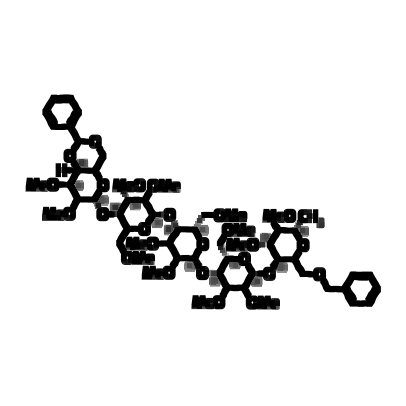 COCC1O[C@@H](O[C@H]2C(OC)C(OC)[C@H](O[C@H]3C(OC)C(OC)[C@H](O[C@@H]4C(COCc5ccccc5)O[C@@H](C)C(OC)[C@H]4OC)O[C@H]3COC)O[C@H]2COC)C(OC)[C@@H](OC)[C@@H]1O[C@H]1OC2COC(c3ccccc3)O[C@H]2[C@H](OC)C1OC